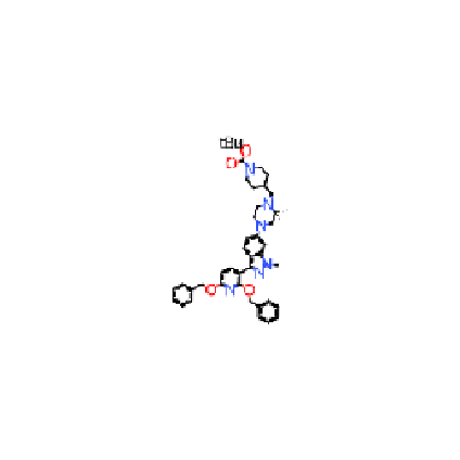 C[C@@H]1CN(c2ccc3c(-c4ccc(OCc5ccccc5)nc4OCc4ccccc4)nn(C)c3c2)CCN1CC1CCN(C(=O)OC(C)(C)C)CC1